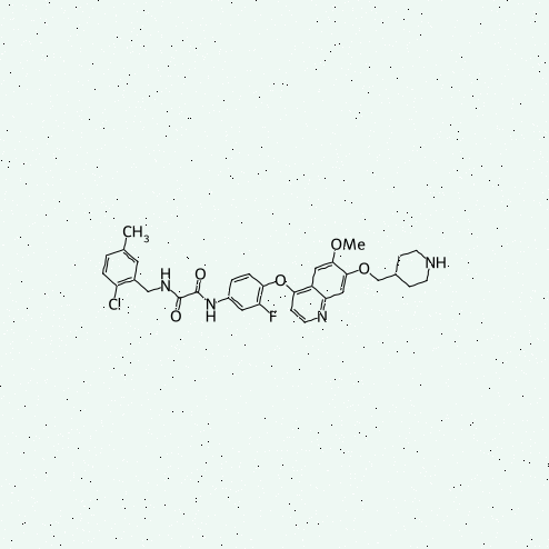 COc1cc2c(Oc3ccc(NC(=O)C(=O)NCc4cc(C)ccc4Cl)cc3F)ccnc2cc1OCC1CCNCC1